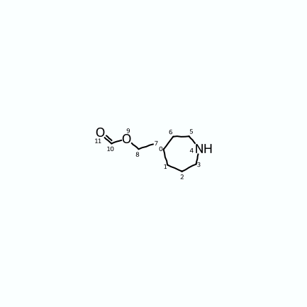 C1CCCNCC1.CCOC=O